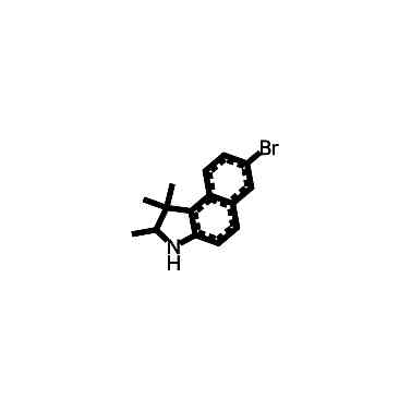 CC1Nc2ccc3cc(Br)ccc3c2C1(C)C